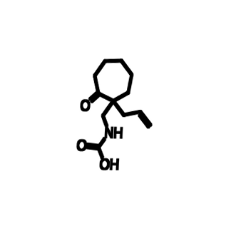 C=CCC1(CNC(=O)O)CCCCCC1=O